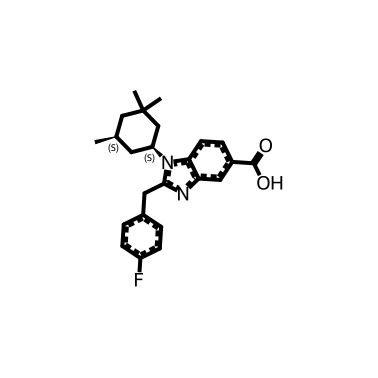 C[C@@H]1C[C@H](n2c(Cc3ccc(F)cc3)nc3cc(C(=O)O)ccc32)CC(C)(C)C1